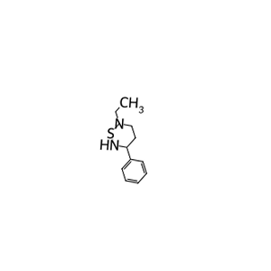 CCN1CCC(c2ccccc2)NS1